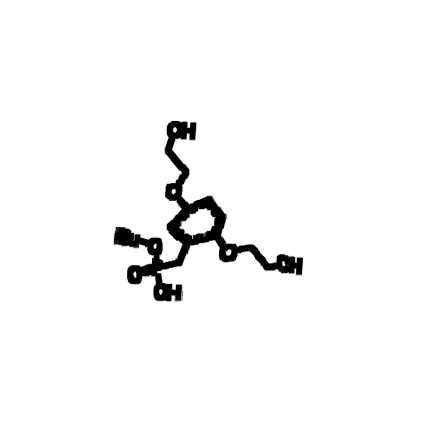 CCC(C)OP(=O)(O)Cc1cc(OCCO)ccc1OCCO